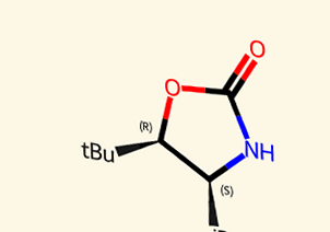 CC(C)[C@@H]1NC(=O)O[C@@H]1C(C)(C)C